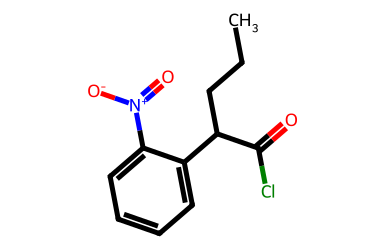 CCCC(C(=O)Cl)c1ccccc1[N+](=O)[O-]